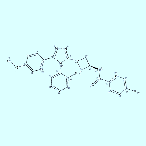 CCOc1ccc(-c2nnc([C@H]3C[C@H](NC(=O)c4ccc(F)cn4)C3)n2-c2ccccc2F)nc1